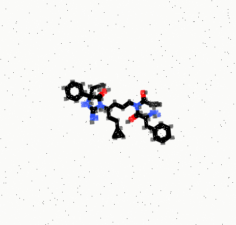 COC(=O)N(CCC[C@@H](CCC1CC1)N1C(=N)N[C@](CC(C)C)(c2ccccc2)C1=O)C(=O)[C@@H](N)Cc1ccccc1